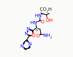 CC(O)[C@H](NC(=O)N[C@@H](CC(N)=O)c1nnc(-c2cnccn2)o1)C(=O)O